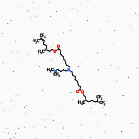 CC(CCC=C(C(F)(F)F)C(F)(F)F)CCOC(=O)CCCCCCCN(CCCCCCCC(=O)OCCC(C)CCC=C(C(F)(F)F)C(F)(F)F)CCCCN(C)C